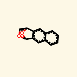 C1=C2OC(O1)c1cc3ccccc3cc12